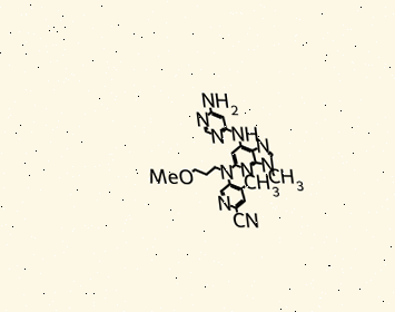 COCCCN(c1cc(Nc2cc(N)ncn2)c2ncn(C)c2n1)c1cnc(C#N)cc1C